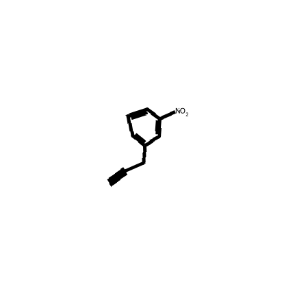 C#C[CH]c1cccc([N+](=O)[O-])c1